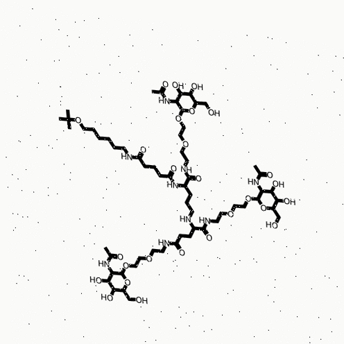 CC(=O)NC1C(OCCOCCNC(=O)CCC(NCCCC(NC(=O)CCCC(=O)NCCCCCCOC(C)(C)C)C(=O)NCCOCCOC2OC(CO)C(O)C(O)C2NC(C)=O)C(=O)NCCOCCOC2OC(CO)C(O)C(O)C2NC(C)=O)OC(CO)C(O)C1O